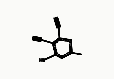 C#Cc1cc(C)cc(S)c1C#C